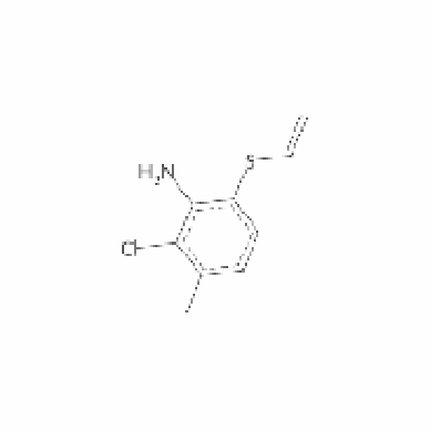 C=CSc1ccc(C)c(Cl)c1N